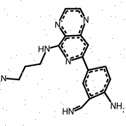 N=Cc1cc(-c2cc3nccnc3c(NCCCN)n2)ccc1N